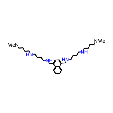 CNCCCCNCCCCNCc1ccc(CNCCCCNCCCCNC)c2ccccc12